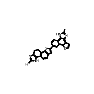 Cc1nc2c3ccsc3c3cc(-c4cc5ccc6c(c5s4)CCc4nc(C(C)C)[nH]c4-6)ccc3c2[nH]1